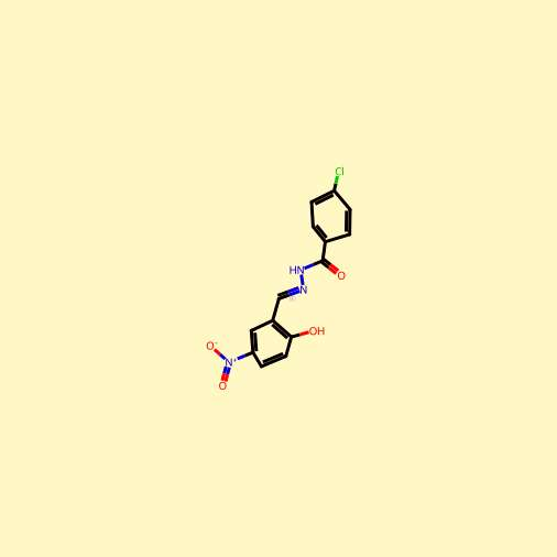 O=C(N/N=C/c1cc([N+](=O)[O-])ccc1O)c1ccc(Cl)cc1